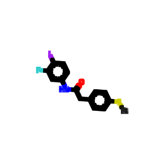 CCSc1ccc(CC(=O)Nc2ccc(I)c(F)c2)cc1